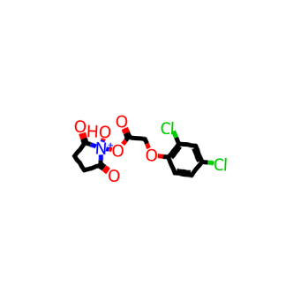 O=C(COc1ccc(Cl)cc1Cl)O[N+]1(O)C(=O)CCC1=O